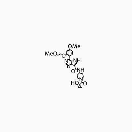 COCCOc1cc(OC)ccc1-c1ncnc2c(C(=O)NC3CCN(C(=O)C4(O)CC4)CC3)c[nH]c12